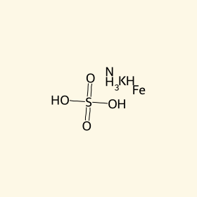 N.O=S(=O)(O)O.[Fe].[KH]